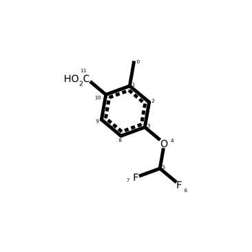 Cc1cc(OC(F)F)ccc1C(=O)O